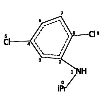 CC(C)Nc1cc(Cl)ccc1Cl